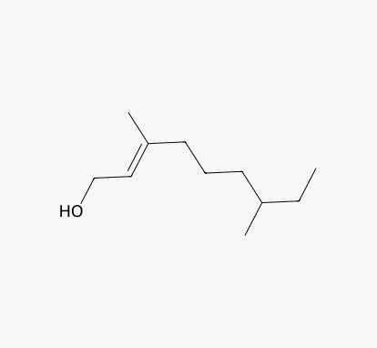 CCC(C)CCCC(C)=CCO